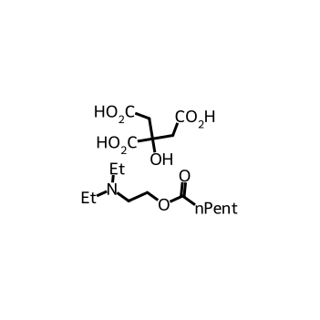 CCCCCC(=O)OCCN(CC)CC.O=C(O)CC(O)(CC(=O)O)C(=O)O